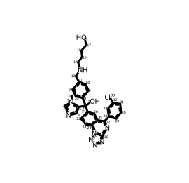 Cn1cncc1C(O)(c1ccc(CNCCCCO)cc1)c1ccc2c(c1)c(-c1cccc(Cl)c1)nc1nnnn12